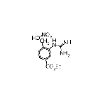 CCOC(=O)c1ccc(C)c(NC(=N)N)c1.O=[N+]([O-])O